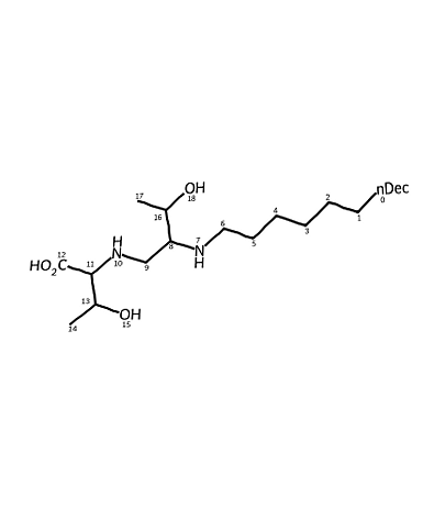 CCCCCCCCCCCCCCCCNC(CNC(C(=O)O)C(C)O)C(C)O